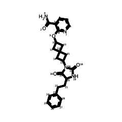 NC(=O)c1cccnc1OC1CC2(C1)CC(N1C(=O)NC(CCc3ccccc3)C1=O)C2